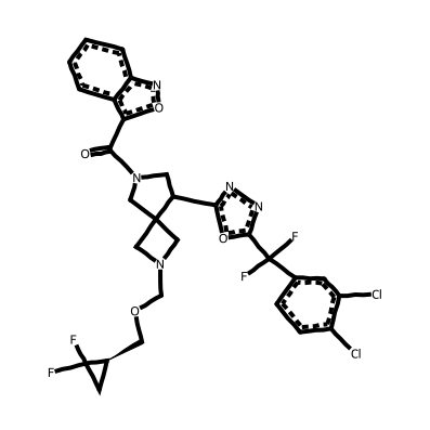 O=C(c1onc2ccccc12)N1CC(c2nnc(C(F)(F)c3ccc(Cl)c(Cl)c3)o2)C2(CN(COC[C@H]3CC3(F)F)C2)C1